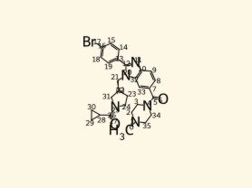 CN1CCN(C(=O)c2ccc3nc(-c4ccc(Br)cc4)n(C[C@H]4CCN(C(=O)C5CC5)C4)c3c2)CC1